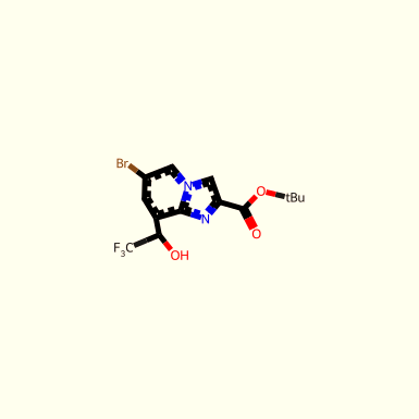 CC(C)(C)OC(=O)c1cn2cc(Br)cc(C(O)C(F)(F)F)c2n1